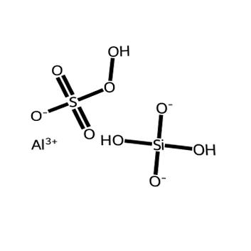 O=S(=O)([O-])OO.[Al+3].[O-][Si]([O-])(O)O